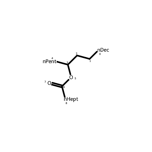 CCCCCCCCCCCCC(CCCCC)OC(=O)CCCCCCC